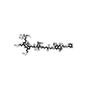 CCCC1=CC(CCC(=O)NC(CS(=O)(=O)O)C(=O)NCCCCC(=O)NCCOc2cc([N+](=O)[O-])c(C(C)NCCSSc3ccccn3)cc2OC)=[N+]2C1=Cc1c(CCC)cc(CCC[N+](C)(C)C)n1[B-]2(F)F